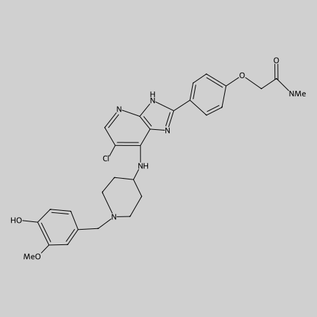 CNC(=O)COc1ccc(-c2nc3c(NC4CCN(Cc5ccc(O)c(OC)c5)CC4)c(Cl)cnc3[nH]2)cc1